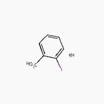 O=C(O)c1ccccc1I.[KH]